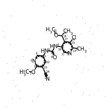 COc1ncc(NC(=O)Nc2cnc(C)c(Cl)c2[C@H](C)OC)cc1C#N